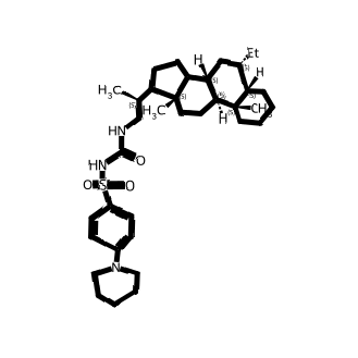 CC[C@H]1C[C@H]2C3CCC([C@H](C)CNC(=O)NS(=O)(=O)c4ccc(N5CCCCC5)cc4)[C@@]3(C)CC[C@@H]2[C@@]2(C)CCCC[C@@H]12